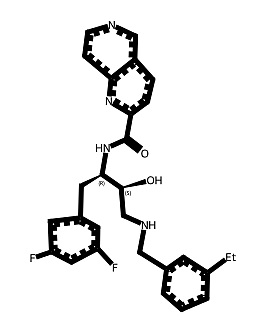 CCc1cccc(CNC[C@H](O)[C@@H](Cc2cc(F)cc(F)c2)NC(=O)c2ccc3cnccc3n2)c1